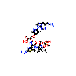 CC1(C)C(NC(=O)C(=NOC(COc2ccc(-n3ccn(CCCN)c3=N)nc2)C(=O)O)c2csc(N)n2)C(=O)N1OS(=O)(=O)O